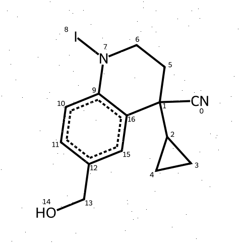 N#CC1(C2CC2)CCN(I)c2ccc(CO)cc21